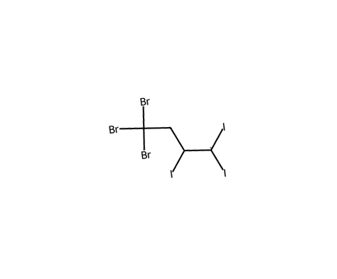 BrC(Br)(Br)CC(I)[C](I)I